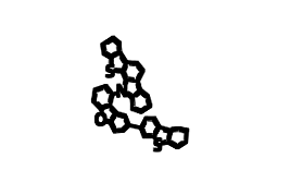 c1cc(-n2c3ccccc3c3ccc4c5ccccc5sc4c32)c2c(c1)oc1ccc(-c3ccc4c(c3)sc3ccccc34)cc12